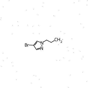 [CH2]CCn1cc(Br)cn1